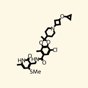 CSc1cc(C)[nH]c(=O)c1CNC(=O)c1cc(Cl)c2c(c1C)OC(C)(C1CCN(C3CC(OC4CC4)C3)CC1)O2